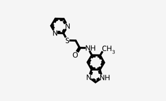 Cc1cc2[nH]cnc2cc1NC(=O)CSc1ncccn1